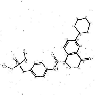 CCOP(=O)(Cc1ccc(NC(=O)C2SCC(=O)c3cc(C4CCCCC4)ccc32)cc1)OCC